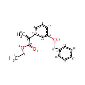 C=C(C(=O)OCC)c1cccc(OCc2ccccc2)c1